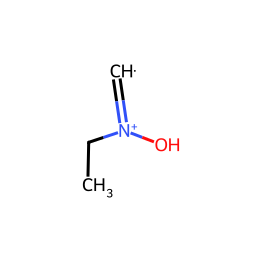 [CH]=[N+](O)CC